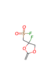 C=C1OCC(F)(CS(=O)(=O)F)O1